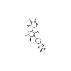 CN1N=CC(c2nn(C)c(=O)n(-c3ccc(OC(F)(F)F)cc3)c2=O)C(=O)C1=O